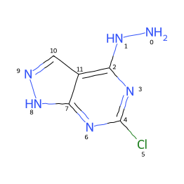 NNc1nc(Cl)nc2[nH]ncc12